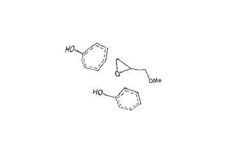 COCC1CO1.Oc1ccccc1.Oc1ccccc1